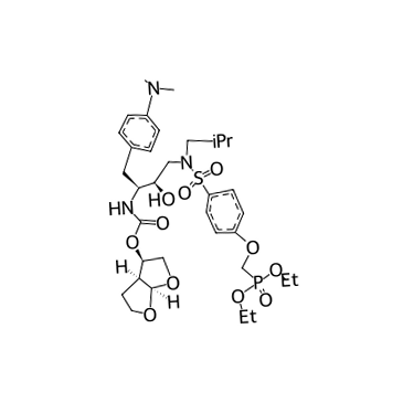 CCOP(=O)(COc1ccc(S(=O)(=O)N(CC(C)C)C[C@@H](O)[C@H](Cc2ccc(N(C)C)cc2)NC(=O)O[C@H]2CO[C@H]3OCC[C@H]32)cc1)OCC